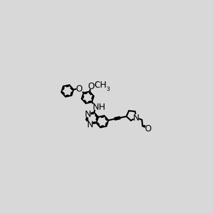 COc1cc(Nc2ncnc3ccc(C#CC4CCN(CC=O)C4)cc23)ccc1Oc1ccccc1